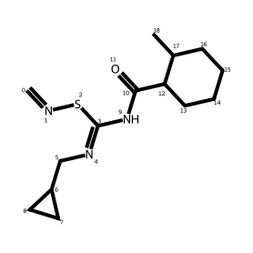 C=NS/C(=N\CC1CC1)NC(=O)C1CCCCC1C